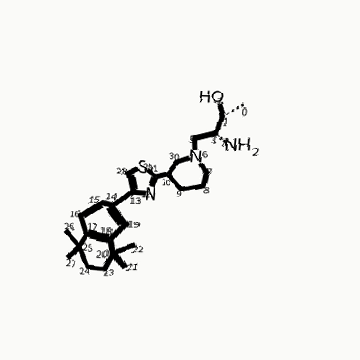 C[C@@H](O)[C@H](N)CN1CCCC(c2nc(-c3ccc4c(c3)C(C)(C)CCC4(C)C)cs2)C1